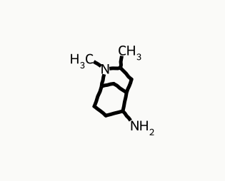 CC1CC2CC(CCC2N)N1C